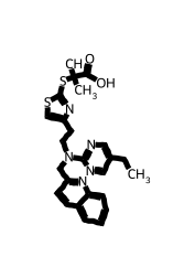 CCc1cnc(N(CCc2csc(SC(C)(C)C(=O)O)n2)Cc2ccc3ccccc3n2)nc1